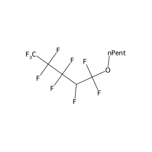 CCCCCOC(F)(F)C(F)C(F)(F)C(F)(F)C(F)(F)F